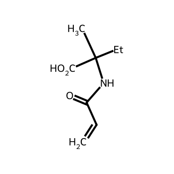 C=CC(=O)NC(C)(CC)C(=O)O